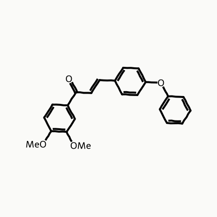 COc1ccc(C(=O)C=Cc2ccc(Oc3ccccc3)cc2)cc1OC